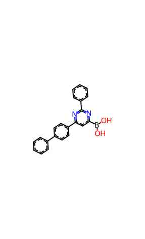 OB(O)c1cc(-c2ccc(-c3ccccc3)cc2)nc(-c2ccccc2)n1